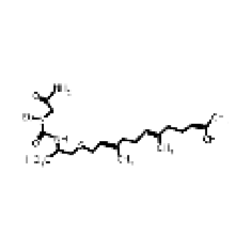 CCN(CC(N)=O)C(=O)NC(CSC/C=C(\C)CC/C=C(\C)CCC=C(C)C)C(=O)O